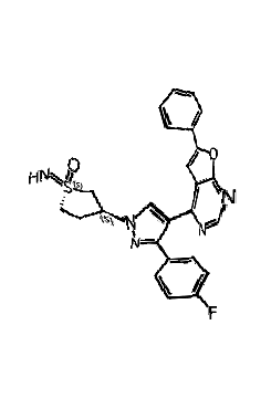 N=[S@]1(=O)CC[C@H](n2cc(-c3ncnc4oc(-c5ccccc5)cc34)c(-c3ccc(F)cc3)n2)C1